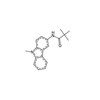 Cn1c2ccccc2c2cc(NC(=O)C(C)(C)C)ccc21